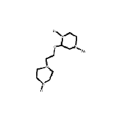 CCN1CCN(CCOC2CN(C(C)=O)CCN2CC)CC1